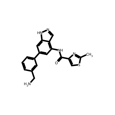 Cc1nc(C(=O)Nc2cc(-c3cccc(CN)c3)cc3[nH]ncc23)cs1